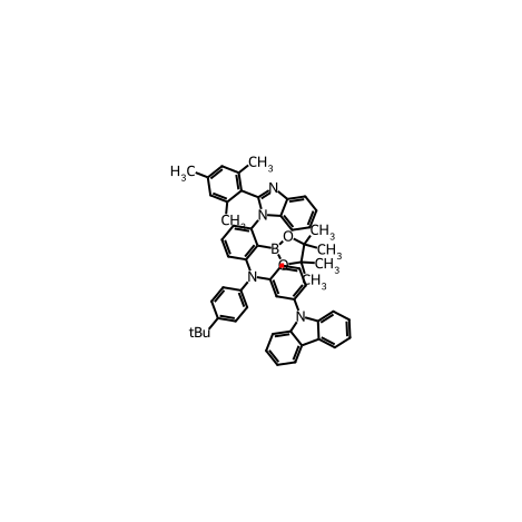 Cc1cc(C)c(-c2nc3ccccc3n2-c2cccc(N(c3ccc(C(C)(C)C)cc3)c3cccc(-n4c5ccccc5c5ccccc54)c3)c2B2OC(C)(C)C(C)(C)O2)c(C)c1